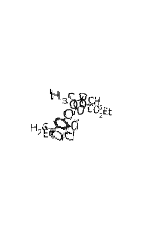 C=C(CC)C(=O)c1ccc(OCC(=O)OC(C)C(=O)OC(C)C(=O)OCC)c(Cl)c1Cl